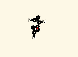 N#Cc1cc(C2=CC(c3ccccc3-n3c4ccccc4c4cc(C#N)ccc43)CC=C2)cc(-n2c3ccccc3c3cc(C#N)ccc32)c1